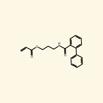 C=CC(=O)OCCCNC(=O)c1ccccc1-c1ccccc1